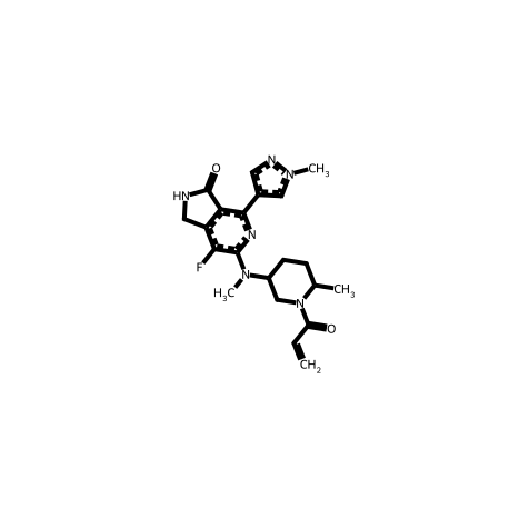 C=CC(=O)N1CC(N(C)c2nc(-c3cnn(C)c3)c3c(c2F)CNC3=O)CCC1C